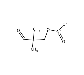 CC(C)(C=O)CO[N+](=O)[O-]